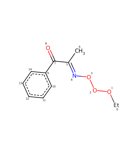 CCOOON=C(C)C(=O)c1ccccc1